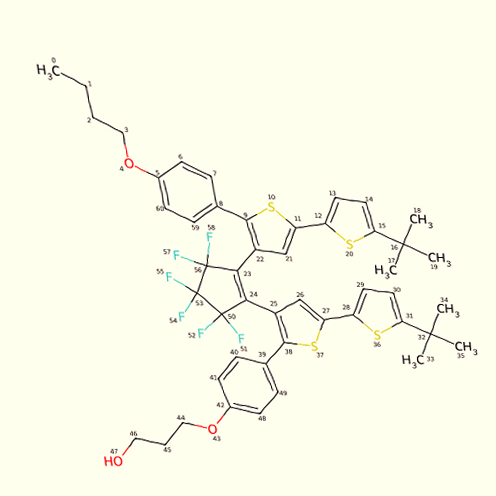 CCCCOc1ccc(-c2sc(-c3ccc(C(C)(C)C)s3)cc2C2=C(c3cc(-c4ccc(C(C)(C)C)s4)sc3-c3ccc(OCCCO)cc3)C(F)(F)C(F)(F)C2(F)F)cc1